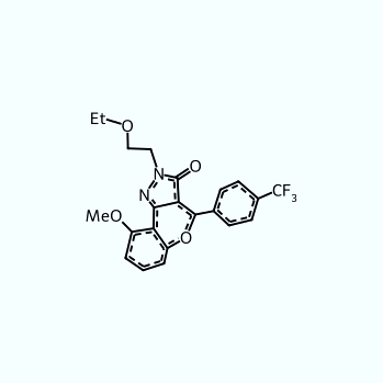 CCOCCn1nc2c3c(OC)cccc3oc(-c3ccc(C(F)(F)F)cc3)c-2c1=O